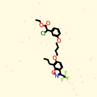 CCCc1c(OCCCCOc2cccc(C(Cl)C(=O)OCC)c2)ccc2c(C(F)(F)F)noc12